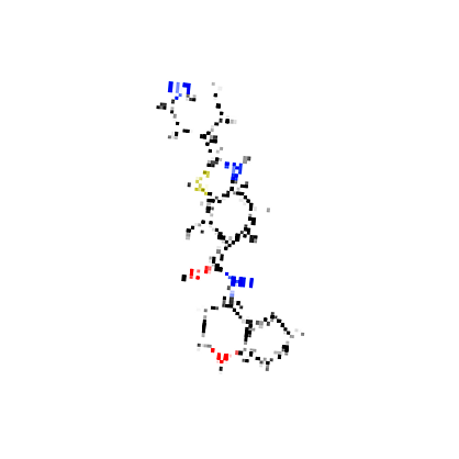 Cc1c(C(=O)N[C@H]2CCOc3ccccc32)ccc2nc(C3CCNCC3)sc12